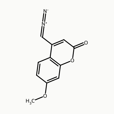 COc1ccc2c(C=[N+]=[N-])cc(=O)oc2c1